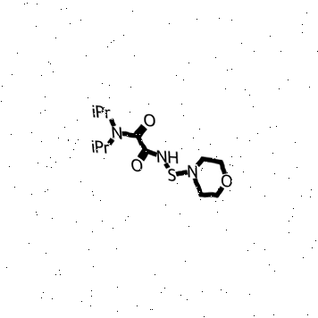 CC(C)N(C(=O)C(=O)NSN1CCOCC1)C(C)C